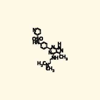 Cc1n[nH]c2nc(-c3ccc(NS(=O)(=O)c4cccnc4)cc3)nc(NCCN(C)C)c12